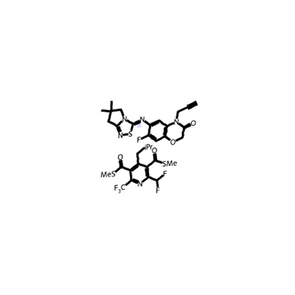 C#CCN1C(=O)COc2cc(F)c(/N=c3\snc4n3CC(C)(C)C4)cc21.CSC(=O)c1c(C(F)F)nc(C(F)(F)F)c(C(=O)SC)c1CC(C)C